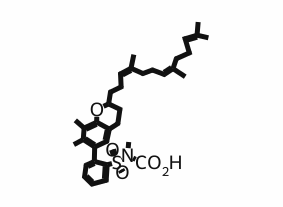 CC(C)=CCCC(C)=CCCC(C)=CCCC1CCc2cc(-c3ccccc3S(=O)(=O)N(C)C(=O)O)c(C)c(C)c2O1